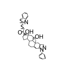 CC12Cc3cnn(-c4ccccc4)c3C=C1CCC1C2[C@@H](O)CC2(C)C1CC[C@]2(O)C(=O)CSc1nc2ccccc2s1